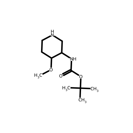 COC1CCNCC1NC(=O)OC(C)(C)C